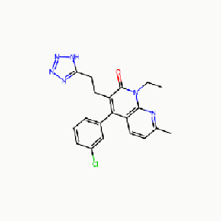 CCn1c(=O)c(CCc2nnn[nH]2)c(-c2cccc(Cl)c2)c2ccc(C)nc21